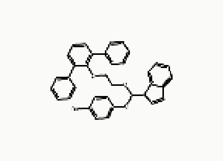 CCC(C)c1ccc(OC(OCCOc2c(-c3ccccc3)cccc2-c2ccccc2)C2C=Cc3ccccc32)cc1